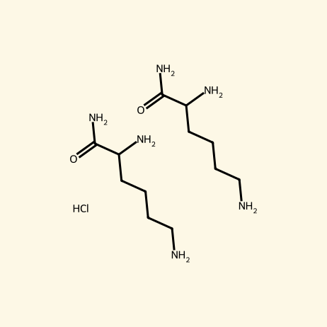 Cl.NCCCCC(N)C(N)=O.NCCCCC(N)C(N)=O